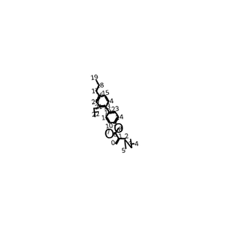 C=C(CN(C)C)C(=O)Oc1ccc(-c2ccc(CCC)cc2F)cc1